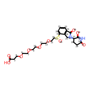 O=C(O)CCOCCOCCOCCOCC[S+]([O-])c1cccc2c1CN(C1CCC(=O)NC1=O)C2=O